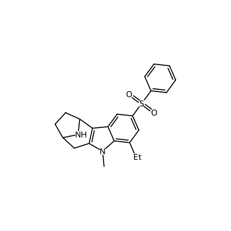 CCc1cc(S(=O)(=O)c2ccccc2)cc2c3c(n(C)c12)CC1CCC3N1